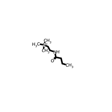 CCCC(=O)NCC[N+](C)(C)C